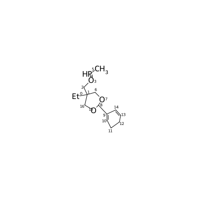 CCC1(COPC)COC(C2=CCCC=C2)OC1